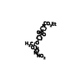 CCOC(=O)N1CCN(S(=O)(=O)c2ccc(OC[C@@]3(C)Cn4cc([N+](=O)[O-])nc4O3)cc2)CC1